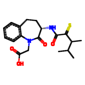 CC(C)C(C)C(=S)C(=O)N[C@H]1CCc2ccccc2N(CC(=O)O)C1=O